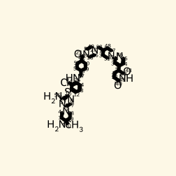 CC1(N)CCN(c2cnc(Sc3cccc(NCC4CCC(C(=O)N5CCN(CC6CCN(c7cc(C8CCC(=O)NC8=O)ccn7)CC6)CC5)CC4)c3Cl)c(N)n2)CC1